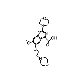 COc1cc2nc(N3CCOCC3)nc(C(=O)O)c2cc1OCCN1CCOCC1